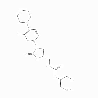 CC(=O)NCC(CCl)OC(=O)NC[C@H]1CN(c2ccc(N3CCOCC3)c(F)c2)C(=O)O1